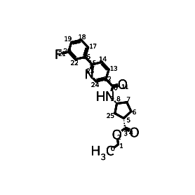 CCOC(=O)[C@H]1CC[C@@H](NC(=O)c2ccc(-c3cccc(F)c3)nc2)C1